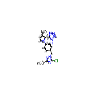 CCCCc1nc(Cl)n(Cc2ccc(-n3ccc([N+](=O)[O-])c3-c3nnn[nH]3)cc2)n1